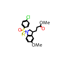 COC(=O)CCC1CN([SH](C)(=O)c2ccc(Cl)cc2)c2ccc(OC)cc21